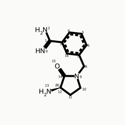 N=C(N)c1cccc(CN2CC[C@@H](N)C2=O)c1